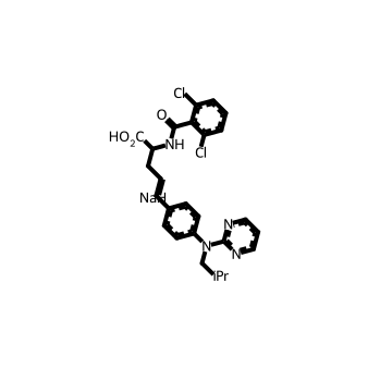 CC(C)CN(c1ccc(C=CCC(NC(=O)c2c(Cl)cccc2Cl)C(=O)O)cc1)c1ncccn1.[NaH]